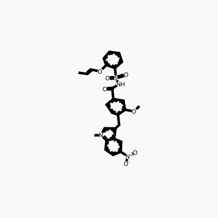 CC=COc1ccccc1S(=O)(=O)NC(=O)c1ccc(Cc2cn(C)c3ccc([N+](=O)[O-])cc23)c(OC)c1